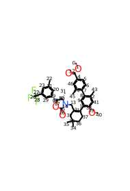 COC(=O)c1ccc(-c2cc(C3=C(CN4C(=O)O[C@H](c5cc(C)cc(C(F)(F)F)c5)[C@@H]4C)CC(C)(C)CC3)c(OC)cc2C)c(C)c1